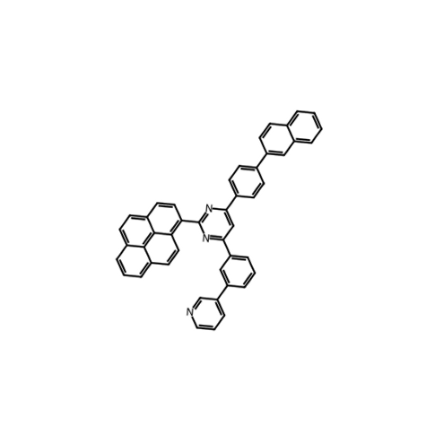 c1cncc(-c2cccc(-c3cc(-c4ccc(-c5ccc6ccccc6c5)cc4)nc(-c4ccc5ccc6cccc7ccc4c5c67)n3)c2)c1